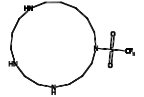 O=S(=O)(N1CCCCCNCCCNCCNCCC1)C(F)(F)F